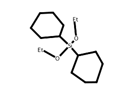 CCO[Si](OCC)(C1CCCCC1)C1CCCCC1